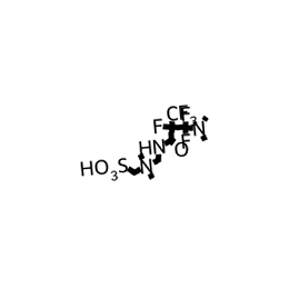 CN(C)C(F)(F)C(F)(C(=O)NC[N+](C)(C)CS(=O)(=O)O)C(F)(F)F